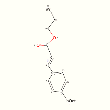 CCCCCCCCc1ccc(/C=C/C(=O)OCCC(C)C)cc1